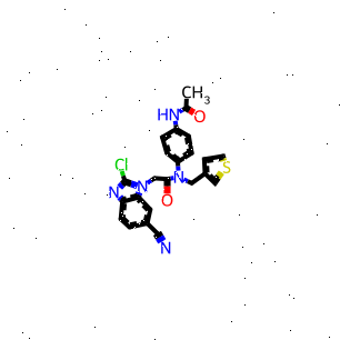 CC(=O)Nc1ccc(N(Cc2ccsc2)C(=O)Cn2c(Cl)nc3ccc(C#N)cc32)cc1